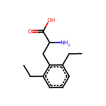 CCc1cccc(CC)c1CC(N)C(=O)O